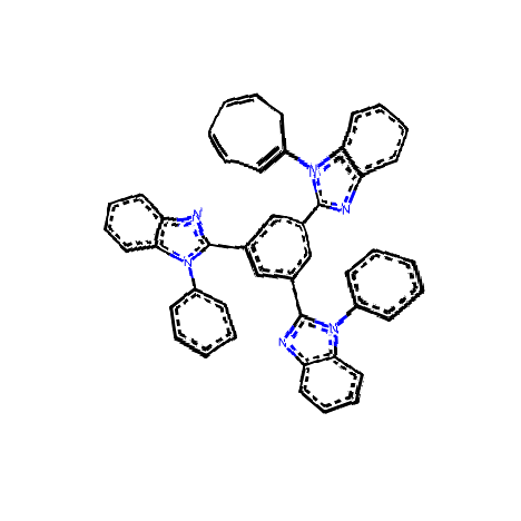 C1=CC=C(n2c(-c3cc(-c4nc5ccccc5n4-c4ccccc4)cc(-c4nc5ccccc5n4-c4ccccc4)c3)nc3ccccc32)CC=C1